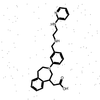 O=C(O)CC1CN(c2cccc(CNCCNc3ccccn3)c2)CCc2ccccc21